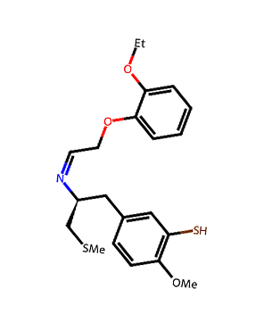 CCOc1ccccc1OC/C=N\[C@H](CSC)Cc1ccc(OC)c(S)c1